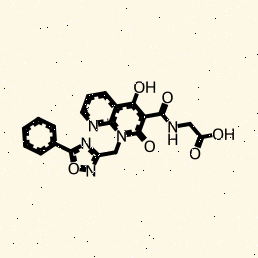 O=C(O)CNC(=O)c1c(O)c2cccnc2n(Cc2noc(-c3ccccc3)n2)c1=O